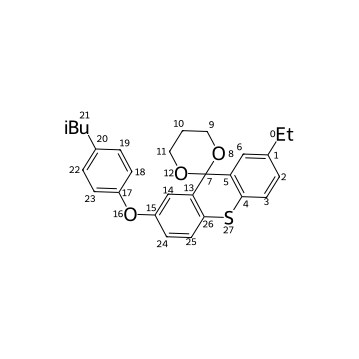 CCc1ccc2c(c1)C1(OCCCO1)c1cc(Oc3ccc(C(C)CC)cc3)ccc1S2